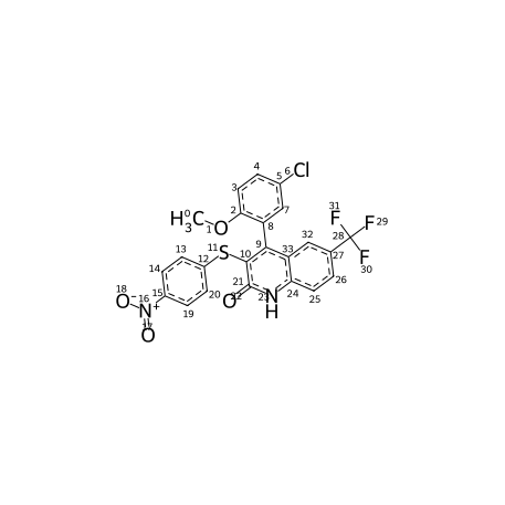 COc1ccc(Cl)cc1-c1c(Sc2ccc([N+](=O)[O-])cc2)c(=O)[nH]c2ccc(C(F)(F)F)cc12